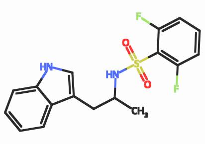 CC(Cc1c[nH]c2ccccc12)NS(=O)(=O)c1c(F)cccc1F